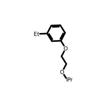 CCc1cccc(OCCOC(C)C)c1